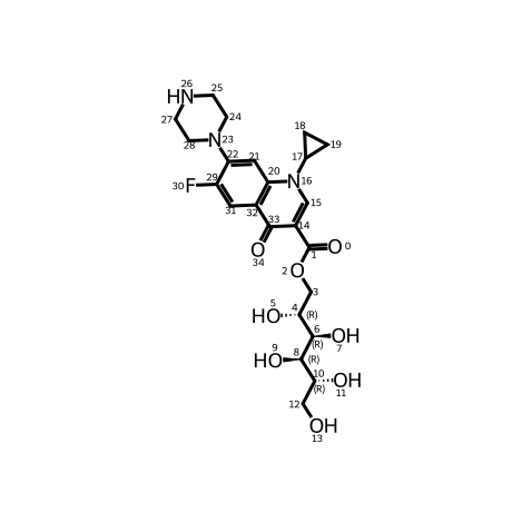 O=C(OC[C@@H](O)[C@@H](O)[C@H](O)[C@H](O)CO)c1cn(C2CC2)c2cc(N3CCNCC3)c(F)cc2c1=O